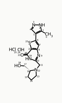 Cc1[nH]ncc1-c1cc2nc(CN3CCC[C@@H]3CO)[nH]c(=O)c2s1.Cl.Cl